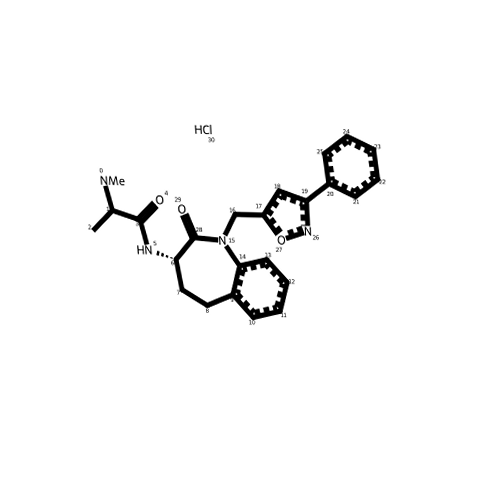 CNC(C)C(=O)N[C@H]1CCc2ccccc2N(Cc2cc(-c3ccccc3)no2)C1=O.Cl